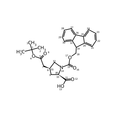 CC(C)(C)OC(=O)C[C@@H]1C[C@H](C(=O)O)N(C(=O)OCC2c3ccccc3-c3ccccc32)C1